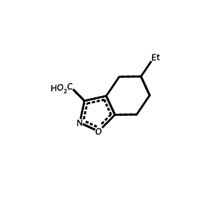 CCC1CCc2onc(C(=O)O)c2C1